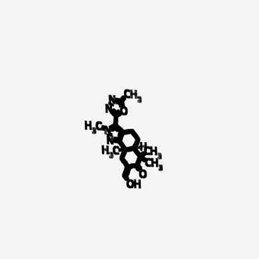 Cc1nnc(-c2c3c(nn2C)[C@@]2(C)C/C(=C/O)C(=O)C(C)(C)[C@@H]2CC3)o1